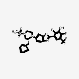 CS(=O)(=O)N1CCN(c2ccc3nc(-c4cc(C(F)(F)F)c(F)c(O)c4F)oc3c2)[C@H](Cc2ccccc2)C1